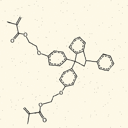 C=C(C)C(=O)OCCOc1ccc(C2(c3ccc(OCCOC(=O)C(=C)C)cc3)CC(c3ccccc3)c3ccccc32)cc1